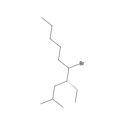 CCCCCC(Br)[C@H](CC)CC(C)C